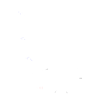 CC(C)[C@@H](CC[C@@H](C)[C@H]1CCC2C3C(CCC21)[C@@]1(C)CC[C@H](NCCCNCCCCN)C[C@@H]1C[C@H]3O)OS(=O)(=O)O